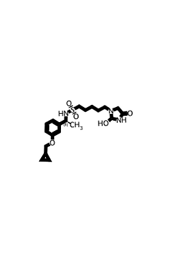 C[C@@H](NS(=O)(=O)CCCCCN1CC(=O)NC1O)c1cccc(OCC2CC2)c1